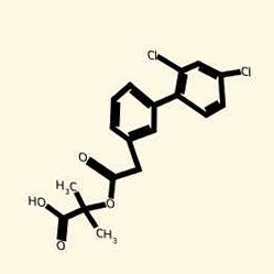 CC(C)(OC(=O)Cc1cccc(-c2ccc(Cl)cc2Cl)c1)C(=O)O